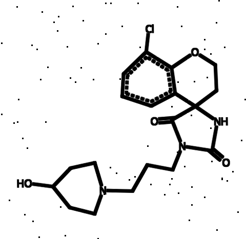 O=C1NC2(CCOc3c(Cl)cccc32)C(=O)N1CCCN1CCC(O)CC1